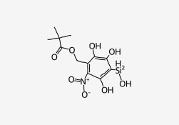 CC(C)(C)C(=O)OCc1c(O)c(O)c([SiH2]O)c(O)c1[N+](=O)[O-]